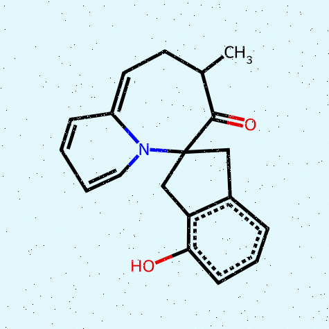 CC1CC=C2C=CC=CN2C2(Cc3cccc(O)c3C2)C1=O